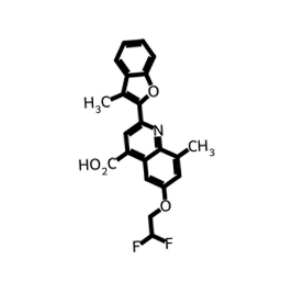 Cc1c(-c2cc(C(=O)O)c3cc(OCC(F)F)cc(C)c3n2)oc2ccccc12